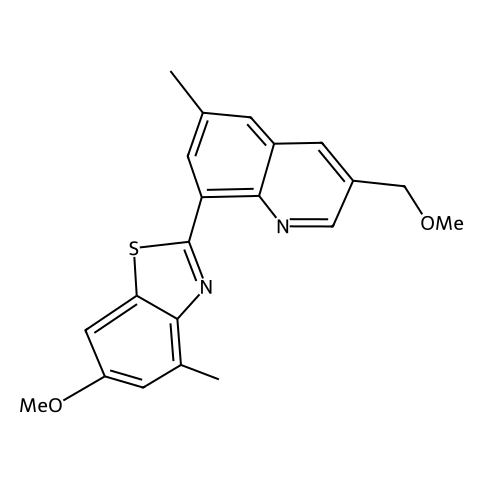 COCc1cnc2c(-c3nc4c(C)cc(OC)cc4s3)cc(C)cc2c1